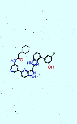 O=C(CC1CCCCC1)Nc1cncc(-c2ccc3[nH]nc(-c4nc5c(-c6cc(O)cc(F)c6)cccc5[nH]4)c3n2)c1